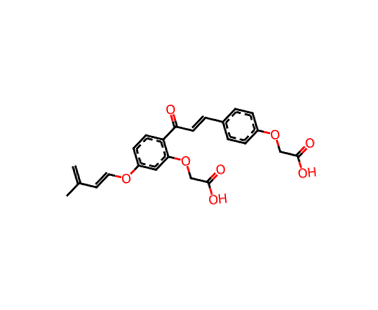 C=C(C)/C=C/Oc1ccc(C(=O)/C=C/c2ccc(OCC(=O)O)cc2)c(OCC(=O)O)c1